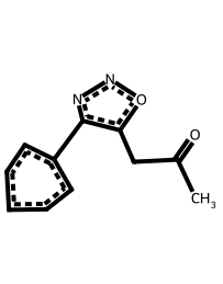 CC(=O)Cc1onnc1-c1ccccc1